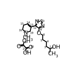 CC(O)CCCCOc1nsnc1C1=CCCN(C)C1.O=C(O)C(=O)O